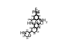 CC(Nc1nc(Cl)nc2c1CC(C1CNCCO1)CC2)c1cc(N)cc(C(F)(F)F)c1